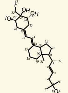 C[C@H](/C=C/CC(C)(C)O)C1CCC2/C(=C/C=C3C[C@@H](O)C(O)(CF)[C@H](O)C3)CCCC21C